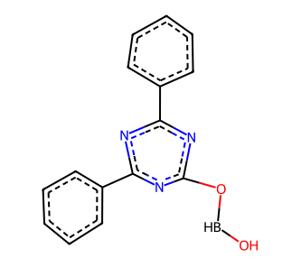 OBOc1nc(-c2ccccc2)nc(-c2ccccc2)n1